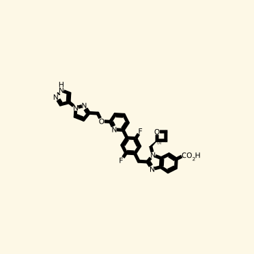 O=C(O)c1ccc2nc(Cc3cc(F)c(-c4cccc(OCc5ccn(-c6cn[nH]c6)n5)n4)cc3F)n(C[C@@H]3CCO3)c2c1